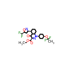 CCOC(=O)c1nn(-c2ccc(OC(C)(F)F)cc2)c2cccc(-c3cc(C(F)F)on3)c2c1=O